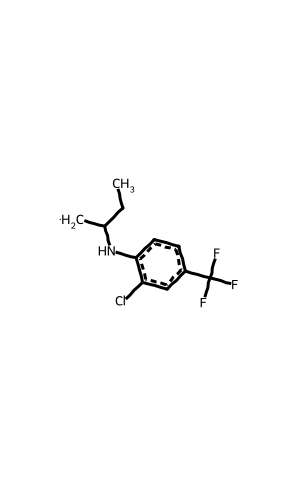 [CH2]C(CC)Nc1ccc(C(F)(F)F)cc1Cl